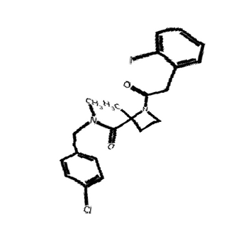 CN(Cc1ccc(Cl)cc1)C(=O)C1(C)CCN1C(=O)Cc1ccccc1I